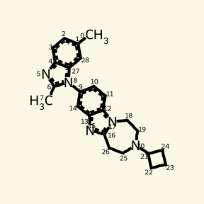 Cc1ccc2nc(C)n(-c3ccc4c(c3)nc3n4CCN(C4CCC4)CC3)c2c1